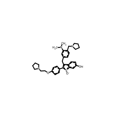 CN(C)c1cc(Cc2c(-c3ccc(OCCN4CCCC4)cc3)[s+]([O-])c3cc(O)ccc23)ccc1CN1CCCC1